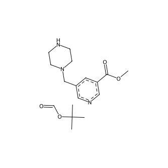 CC(C)(C)OC=O.COC(=O)c1cncc(CN2CCNCC2)c1